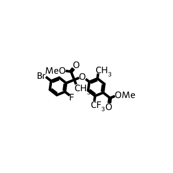 COC(=O)c1cc(C)c(OC(C)(C(=O)OC)c2cc(Br)ccc2F)cc1C(F)(F)F